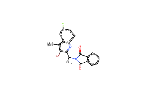 CSc1c(Br)c(C(C)N2C(=O)c3ccccc3C2=O)nc2ccc(F)cc12